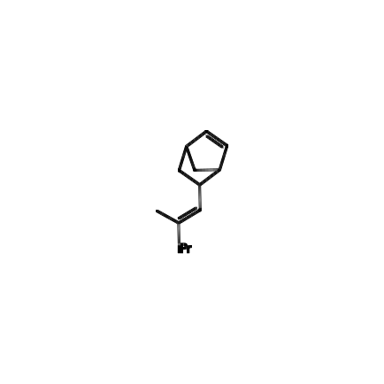 CC(=CC1CC2C=CC1C2)C(C)C